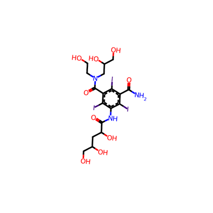 NC(=O)c1c(I)c(NC(=O)C(O)CC(O)CO)c(I)c(C(=O)N(CCO)CC(O)CO)c1I